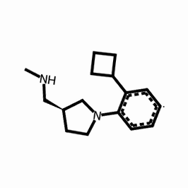 CNC[C@@H]1CCN(c2cc[c]cc2C2CCC2)C1